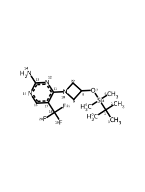 CC(C)(C)[Si](C)(C)OC1CN(c2nc(N)ncc2C(F)(F)F)C1